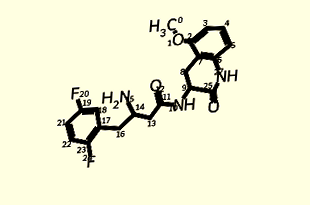 COc1cccc2c1CC(NC(=O)CC(N)Cc1cc(F)ccc1F)C(=O)N2